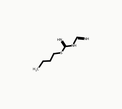 CCCCSC(=N)NC=N